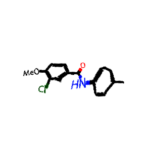 COc1ccc(C(=O)Nc2ccc(C)cc2)cc1Cl